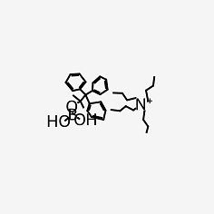 CC(C)(OB(O)O)C(c1ccccc1)(c1ccccc1)c1ccccc1.CCCC[N+](CCCC)(CCCC)CCCC